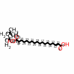 C=C(C)C.C=C(C)C.O=C(O)C=CCCCCCCCCCCCCCCC(=O)O